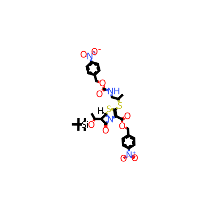 CC(CNC(=O)OCc1ccc([N+](=O)[O-])cc1)SC1=C(C(=O)OCc2ccc([N+](=O)[O-])cc2)N2C(=O)C(C(C)O[Si](C)(C)C(C)(C)C)[C@H]2S1